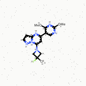 COc1ncc(-c2cc(N3CC(F)(C(F)(F)F)C3)n3nccc3n2)c(OC)n1